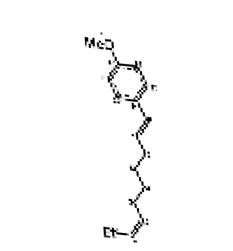 CC/C=C\CCCC/C=C/c1ccc(OC)cc1